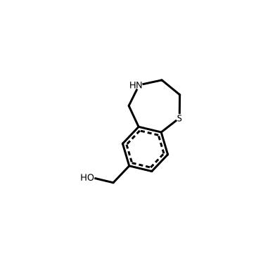 OCc1ccc2c(c1)CNCCS2